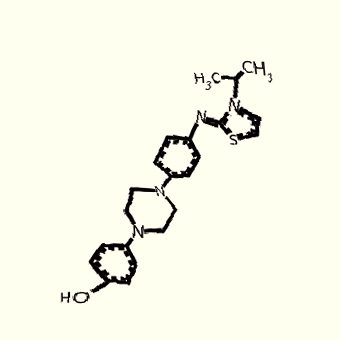 CC(C)n1ccsc1=Nc1ccc(N2CCN(c3ccc(O)cc3)CC2)cc1